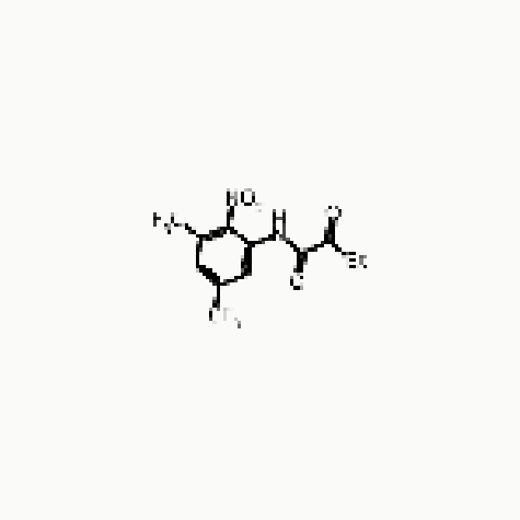 CCC(=O)C(=O)Nc1cc(C(F)(F)F)cc(C(F)(F)F)c1[N+](=O)[O-]